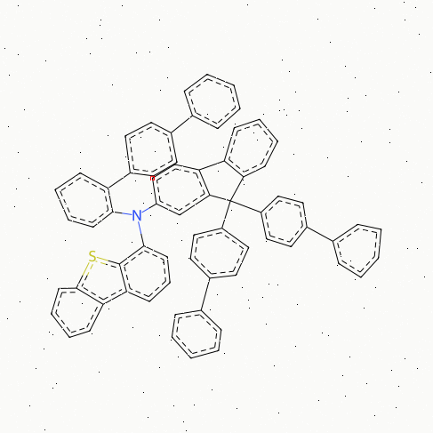 c1ccc(-c2ccc(-c3ccccc3N(c3ccc4c(c3)C(c3ccc(-c5ccccc5)cc3)(c3ccc(-c5ccccc5)cc3)c3ccccc3-4)c3cccc4c3sc3ccccc34)cc2)cc1